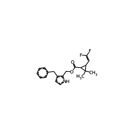 CC1(C)C(C=C(F)F)C1C(=O)OCc1[nH]ccc1Cc1ccccc1